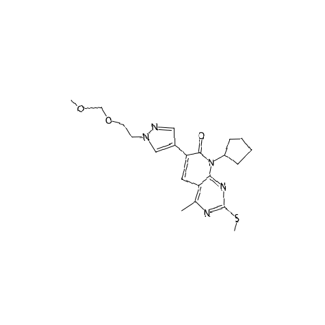 COCOCCn1cc(-c2cc3c(C)nc(SC)nc3n(C3CCCC3)c2=O)cn1